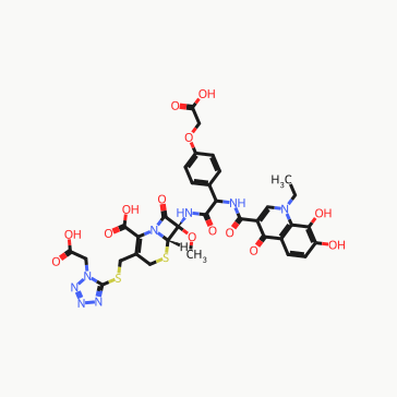 CCn1cc(C(=O)NC(C(=O)N[C@]2(OC)C(=O)N3C(C(=O)O)=C(CSc4nnnn4CC(=O)O)CS[C@H]32)c2ccc(OCC(=O)O)cc2)c(=O)c2ccc(O)c(O)c21